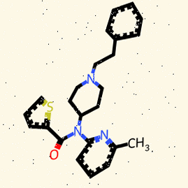 Cc1cccc(N(C(=O)c2cccs2)C2CCN(CCc3ccccc3)CC2)n1